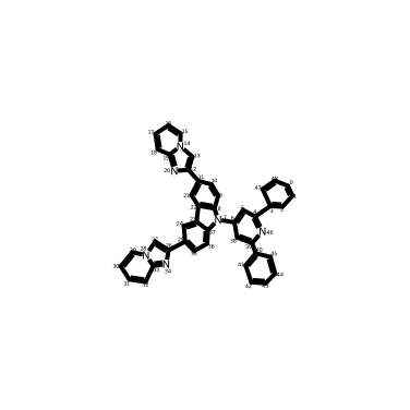 c1ccc(-c2cc(-n3c4ccc(-c5cn6ccccc6n5)cc4c4cc(-c5cn6ccccc6n5)ccc43)cc(-c3ccccc3)n2)cc1